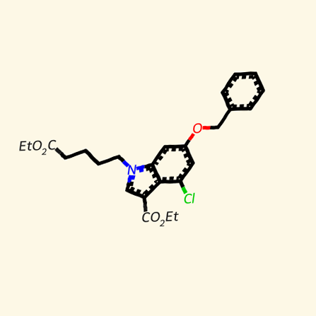 CCOC(=O)CCCCn1cc(C(=O)OCC)c2c(Cl)cc(OCc3ccccc3)cc21